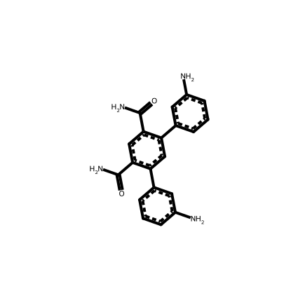 NC(=O)c1cc(C(N)=O)c(-c2cccc(N)c2)cc1-c1cccc(N)c1